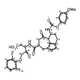 COc1ccc(OC(=O)NC2CCc3ccn4c3C2C(=O)CC(C(=O)NC(CC(=O)O)C(=O)COc2c(F)cccc2F)C4)cc1